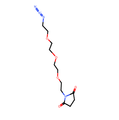 [N-]=[N+]=NCCOCCOCCOCCN1C(=O)CCC1=O